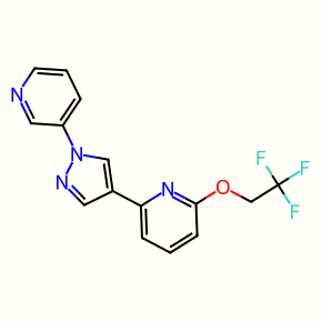 FC(F)(F)COc1cccc(-c2cnn(-c3cccnc3)c2)n1